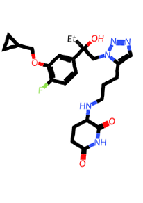 CCC(O)(Cn1nncc1CCCNC1CCC(=O)NC1=O)c1ccc(F)c(OCC2CC2)c1